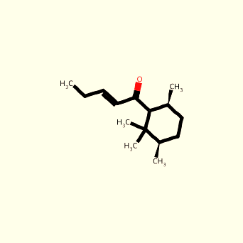 CC/C=C/C(=O)C1[C@@H](C)CC[C@@H](C)C1(C)C